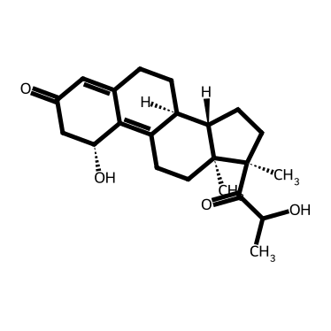 CC(O)C(=O)[C@]1(C)CC[C@H]2[C@@H]3CCC4=CC(=O)C[C@@H](O)C4=C3CC[C@@]21C